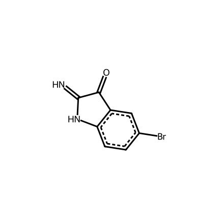 N=C1Nc2ccc(Br)cc2C1=O